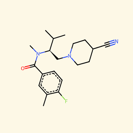 Cc1cc(C(=O)N(C)[C@H](CN2CCC(C#N)CC2)C(C)C)ccc1F